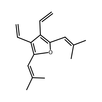 C=Cc1c(C=C(C)C)oc(C=C(C)C)c1C=C